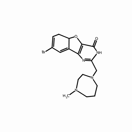 CN1CCCN(Cc2nc3c(c(=O)[nH]2)OC2CC=C(Br)C=C32)CC1